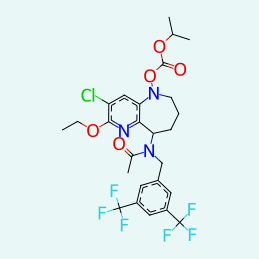 CCOc1nc2c(cc1Cl)N(OC(=O)OC(C)C)CCCC2N(Cc1cc(C(F)(F)F)cc(C(F)(F)F)c1)C(C)=O